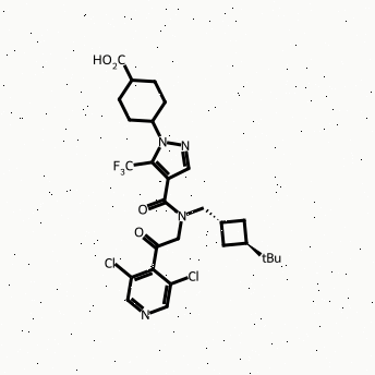 CC(C)(C)[C@H]1C[C@H](CN(CC(=O)c2c(Cl)cncc2Cl)C(=O)c2cnn(C3CCC(C(=O)O)CC3)c2C(F)(F)F)C1